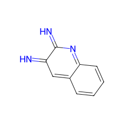 N=C1C=c2ccccc2=NC1=N